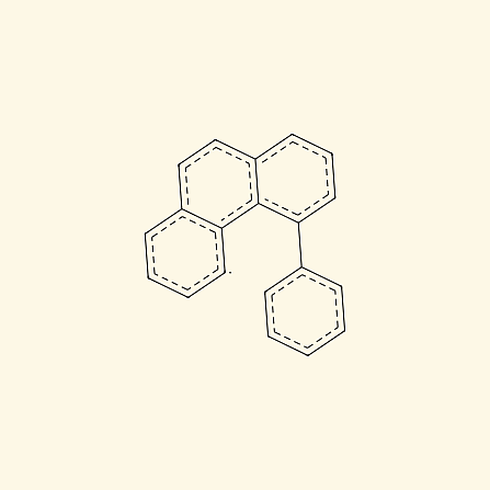 [c]1cccc2ccc3cccc(-c4ccccc4)c3c12